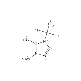 CCCCCCN1N=CN(C(F)(F)C(F)(F)F)C1CCCC